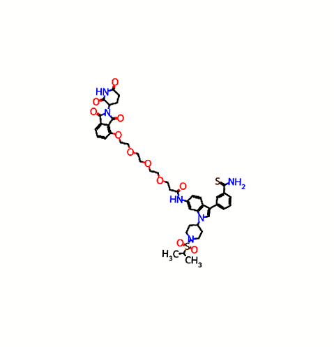 CC(C)S(=O)(=O)N1CCC(n2cc(-c3cccc(C(N)=S)c3)c3ccc(NC(=O)CCOCCOCCOCCOc4cccc5c4C(=O)N(C4CCC(=O)NC4=O)C5=O)cc32)CC1